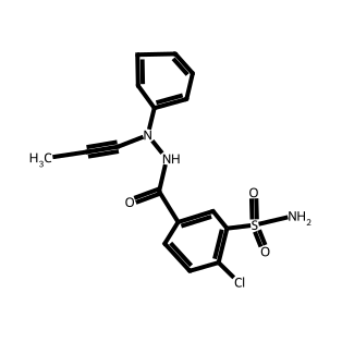 CC#CN(NC(=O)c1ccc(Cl)c(S(N)(=O)=O)c1)c1ccccc1